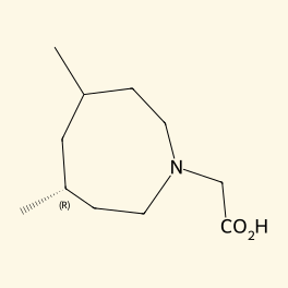 CC1CCN(CC(=O)O)CC[C@H](C)C1